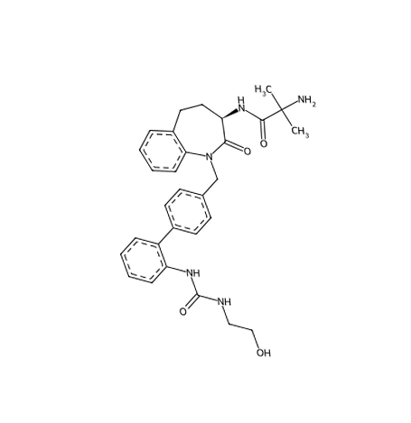 CC(C)(N)C(=O)N[C@@H]1CCc2ccccc2N(Cc2ccc(-c3ccccc3NC(=O)NCCO)cc2)C1=O